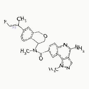 C/C(=C\F)c1ccc2c(c1)COCC2N(C)C(=O)c1ccc2nc(N)c3cnn(C)c3c2c1